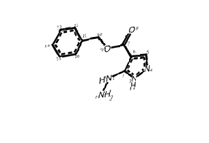 NNc1[nH]ncc1C(=O)OCc1ccccc1